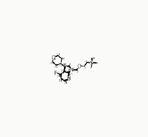 C[Si](C)(C)CCOCn1cc(C2CCOCC2)c2c(F)ccnc21